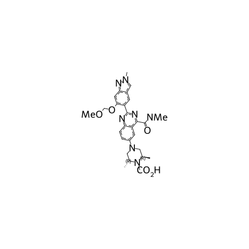 CNC(=O)c1nc(-c2cc3cn(C)nc3cc2OCOC)nc2ccc(N3C[C@@H](C)N(C(=O)O)[C@H](C)C3)cc12